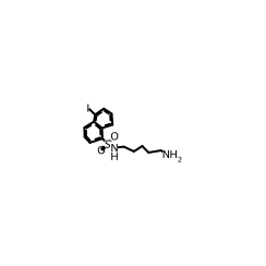 NCCCCCNS(=O)(=O)c1cccc2c(I)cccc12